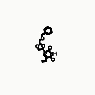 C=Cc1cn([C@H]2CO[C@@H](COCc3ccccc3)O2)c(=O)[nH]c1=O